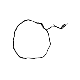 O=[C]OC1CCCCCCCCCCCCCC1